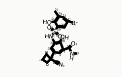 CNC(=O)c1cc(C2(C#N)CCC2)cc(NS(=O)(=O)c2cc(Br)cc(C)c2O)c1O